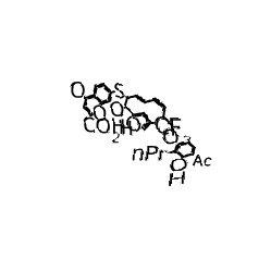 CCCc1c(OCC/C=C\C=C\[C@H](Sc2ccc3c(=O)cc(C(=O)O)oc3c2)[C@H](O)c2cc(C(F)(F)F)co2)ccc(C(C)=O)c1O